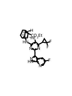 CCOC(=O)[C@H]1C2CCC(CC2)[C@@H]1Nc1nc(-c2n[nH]c3ncc(F)cc23)nc(C2CC2(F)F)c1F